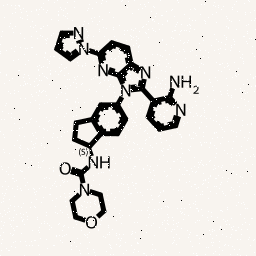 Nc1ncccc1-c1nc2ccc(-n3cccn3)nc2n1-c1ccc2c(c1)CC[C@@H]2NC(=O)N1CCOCC1